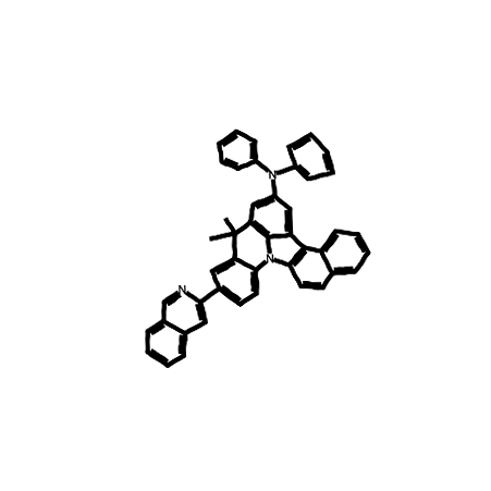 CC1(C)c2cc(-c3cc4ccccc4cn3)ccc2-n2c3ccc4ccccc4c3c3cc(N(c4ccccc4)c4ccccc4)cc1c32